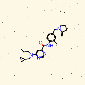 C=C1CCCN1Cc1ccc(NC(=O)c2cc(N(CCC)CC3CC3)ncn2)c(C)c1